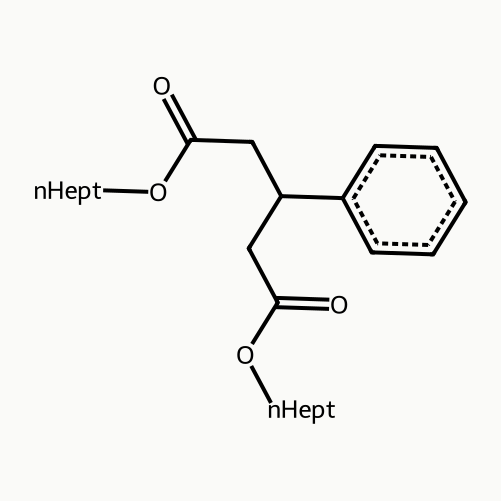 CCCCCCCOC(=O)CC(CC(=O)OCCCCCCC)c1ccccc1